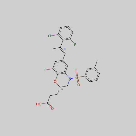 C/C(=C\c1cc(F)c2c(c1)N(S(=O)(=O)c1cccc(C)c1)C[C@H](CCC(=O)O)O2)c1c(F)cccc1Cl